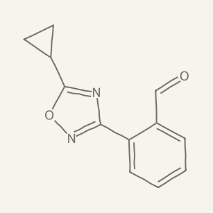 O=Cc1ccccc1-c1noc(C2CC2)n1